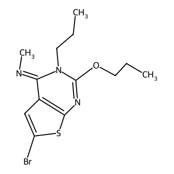 CCCOc1nc2sc(Br)cc2c(=NC)n1CCC